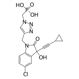 O=C1N(Cc2cn(CP(=O)(O)O)nn2)c2ccc(Cl)cc2C1(O)C#CC1CC1